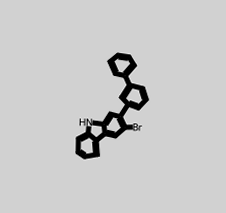 Brc1cc2c(cc1-c1cccc(-c3ccccc3)c1)[nH]c1ccccc12